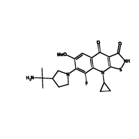 COc1cc2c(=O)c3c(=O)[nH]sc3n(C3CC3)c2c(F)c1N1CCC(C(C)(C)N)C1